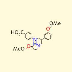 COCOc1cccc(C(CNc2ccc(C(=O)O)cc2)CN2CCC(OCOC)C2)c1